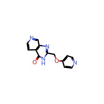 O=c1[nH]c(COc2ccncc2)nc2cnccc12